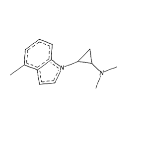 Cc1cccc2c1ccn2C1CC1N(C)C